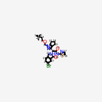 C[Si](C)(C)CCOCn1nc([C@H](C(=O)Nc2nccs2)N2Cc3ccc(Br)cc3C2=O)c2c1CCC2